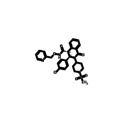 CS(=O)(=O)N1CCC(N2C(=O)c3ccccc3[C@@H](C(=O)NOCc3ccccn3)[C@@H]2c2ccc(Cl)cc2)CC1